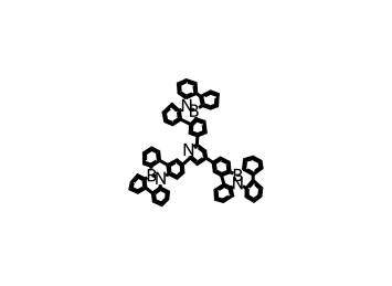 c1ccc2c(c1)B1c3ccc(-c4cc(-c5ccc6c(c5)-c5ccccc5N5B6c6ccccc6-c6ccccc65)nc(-c5ccc6c(c5)-c5ccccc5B5c7ccccc7-c7ccccc7N56)c4)cc3-c3ccccc3N1c1ccccc1-2